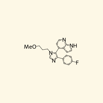 COCCCn1cnc(-c2ccc(F)cc2)c1-c1ccnc2[nH]ccc12